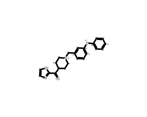 O=C(c1ncco1)C1CCN(Cc2cccc(Oc3ccccc3)c2)CC1